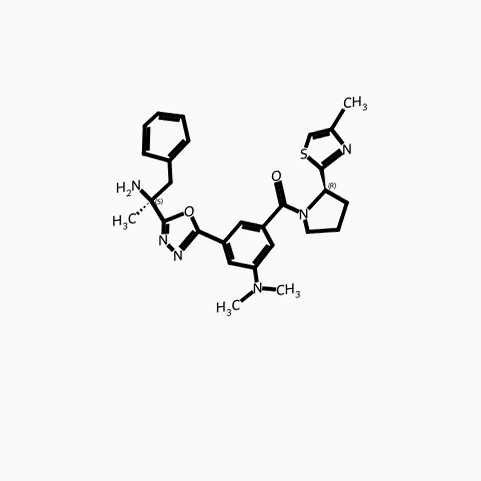 Cc1csc([C@H]2CCCN2C(=O)c2cc(-c3nnc([C@@](C)(N)Cc4ccccc4)o3)cc(N(C)C)c2)n1